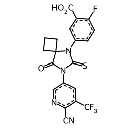 N#Cc1ncc(N2C(=O)C3(CCC3)N(c3ccc(F)c(C(=O)O)c3)C2=S)cc1C(F)(F)F